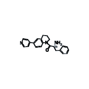 N[C@H](Cc1ccccc1)C(=O)N1CCCc2cc(-c3ccncc3)ccc21